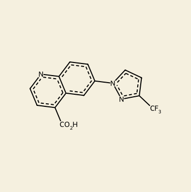 O=C(O)c1ccnc2ccc(-n3ccc(C(F)(F)F)n3)cc12